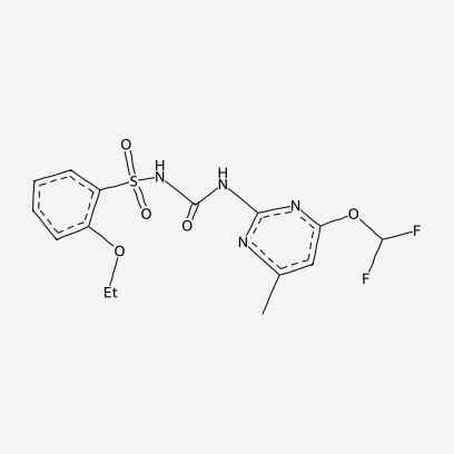 CCOc1ccccc1S(=O)(=O)NC(=O)Nc1nc(C)cc(OC(F)F)n1